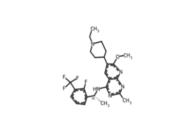 CCN1CCC(c2cc3c(N[C@H](C)c4cccc(C(F)(F)F)c4F)nc(C)nc3nc2OC)CC1